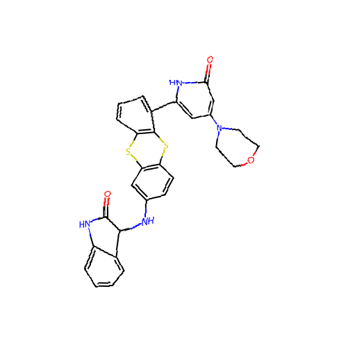 O=C1Nc2ccccc2C1Nc1ccc2c(c1)Sc1cccc(-c3cc(N4CCOCC4)cc(=O)[nH]3)c1S2